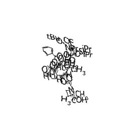 CC(=O)O[C@@]12CO[C@@H]1CCC1[C@@H]2[C@H](OC(=O)c2ccccc2)[C@]2(O)C[C@H](OC(=O)[C@H](O[Si](C(C)C)(C(C)C)C(C)C)[C@H](CF)NC(=O)OC(C)(C)C)C(C)=C([C@H]3O[C@@H](CN4CC[C@H]4C(C)(C)O)O[C@@H]13)C2(C)C